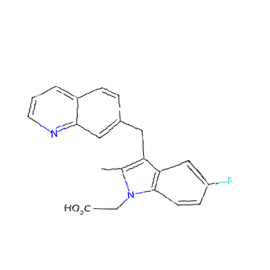 Cc1c(Cc2ccc3cccnc3c2)c2cc(F)ccc2n1CC(=O)O